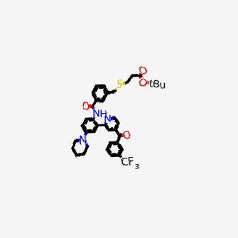 CC(C)(C)OC(=O)CCSCc1cccc(C(=O)Nc2ccc(N3CCCCC3)cc2-c2cc(C(=O)c3cccc(C(F)(F)F)c3)ccn2)c1